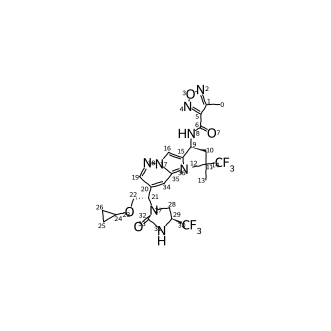 Cc1nonc1C(=O)N[C@@H](CC(C)(C)C(F)(F)F)c1cn2ncc([C@@H](COC3CC3)N3C[C@@H](C(F)(F)F)NC3=O)cc2n1